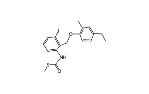 CCc1ccc(OCc2c(I)cccc2NC(=O)SC)c(C)c1